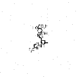 Cc1cc(Nc2nccc(C(F)(F)F)n2)cc(-c2cnc([C@]3(O)CC[C@](O)(C(=O)O)CC3)s2)c1